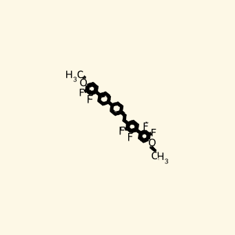 CCCOc1ccc(-c2ccc(CCC3CCC(C4CC=C(c5ccc(OCC)c(F)c5F)CC4)CC3)c(F)c2F)c(F)c1F